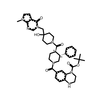 Cn1ccc2c(=O)n(CC3(O)CCN(C(=O)[C@@H]4CCN(C(=O)c5ccc6c(c5)N(C(=O)OC(C)(C)C)CCN6)C[C@H]4c4ccccc4)CC3)cnc21